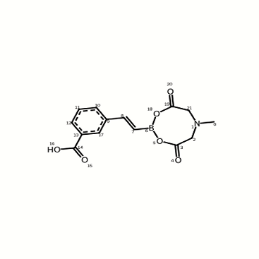 CN1CC(=O)OB(C=Cc2cccc(C(=O)O)c2)OC(=O)C1